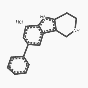 Cl.c1ccc(-c2ccc3[nH]c4c(c3c2)CNCC4)cc1